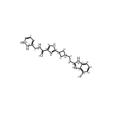 O=C(NCC1=CC=CNN1)c1coc(C2CN(CCc3nc4c(F)cccc4[nH]3)C2)n1